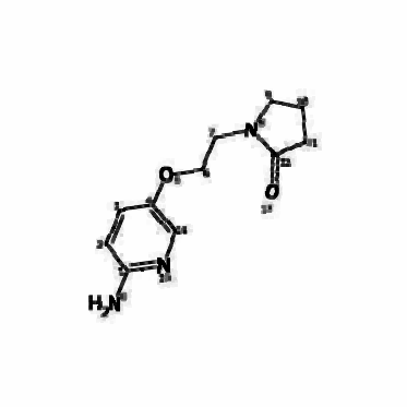 Nc1ccc(OCCN2CCCC2=O)cn1